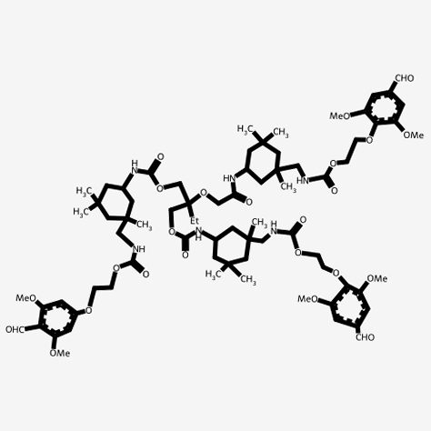 CCC(COC(=O)NC1CC(C)(C)CC(C)(CNC(=O)OCCOc2cc(OC)c(C=O)c(OC)c2)C1)(COC(=O)NC1CC(C)(C)CC(C)(CNC(=O)OCCOc2c(OC)cc(C=O)cc2OC)C1)OCC(=O)NC1CC(C)(C)CC(C)(CNC(=O)OCCOc2c(OC)cc(C=O)cc2OC)C1